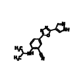 CC(C)Nc1ccc(-c2nnc(-c3cn[nH]c3)o2)cc1C#N